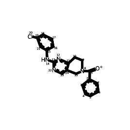 O=C(c1ccccc1)N1CCc2nc(Nc3cccc(Cl)c3)ncc2C1